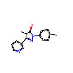 Cc1ccc(N2N=C(c3cccnc3)C(C)C2=O)cc1